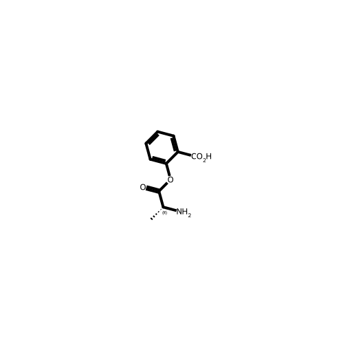 C[C@@H](N)C(=O)Oc1ccccc1C(=O)O